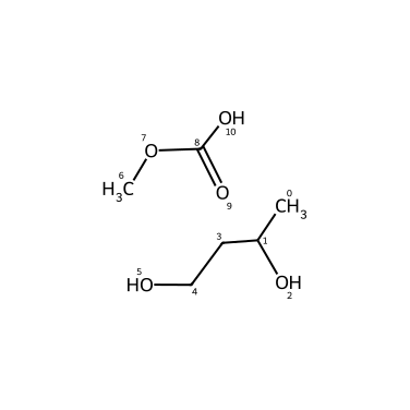 CC(O)CCO.COC(=O)O